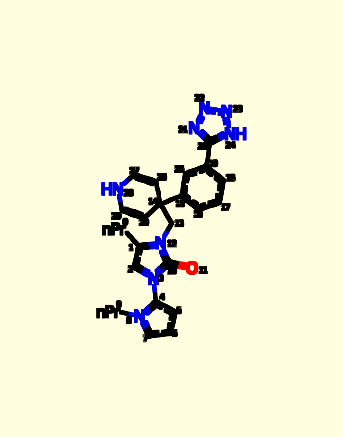 CCCc1cn(-c2cccn2CCC)c(=O)n1CC1(c2cccc(-c3nnn[nH]3)c2)C=CNC=C1